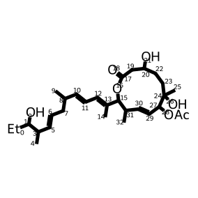 CCC(O)C(C)/C=C/CC(C)/C=C/C=C(\C)C1OC(=O)CC(O)CCC(C)(O)C(OC(C)=O)/C=C/C1C